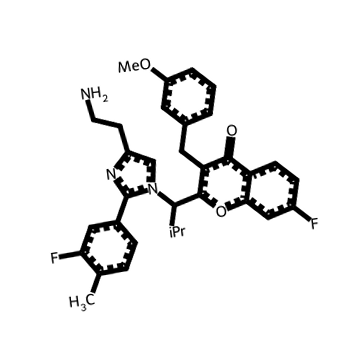 COc1cccc(Cc2c(C(C(C)C)n3cc(CCN)nc3-c3ccc(C)c(F)c3)oc3cc(F)ccc3c2=O)c1